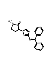 CN1CCC(n2ccc(N=C(c3ccccc3)c3ccccc3)n2)C1=O